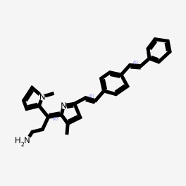 CC1=CC(/C=C/c2ccc(/C=C/c3ccccc3)cc2)=NC/1=C(/CCN)c1cccn1C